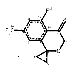 C=C1COC2(CC2)c2cc(C(F)(F)F)cc(F)c21